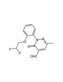 Cc1cc(C=O)c(=O)n(-c2ccccc2OCC(F)F)n1